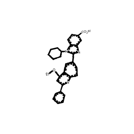 CCOc1cc(-c2ccccc2)nc2ccc(-c3nc4cc(C(=O)O)ccc4n3C3CCCCC3)cc12